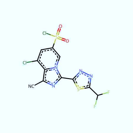 N#Cc1nc(-c2nnc(C(F)F)s2)n2cc(S(=O)(=O)Cl)cc(Cl)c12